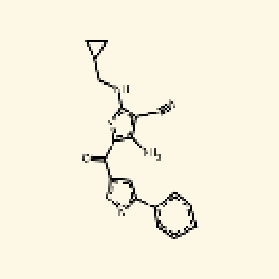 N#Cc1c(NCC2CC2)sc(C(=O)c2cc(-c3ccccc3)no2)c1N